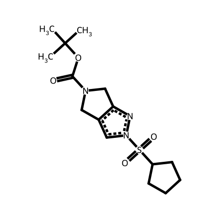 CC(C)(C)OC(=O)N1Cc2cn(S(=O)(=O)C3CCCC3)nc2C1